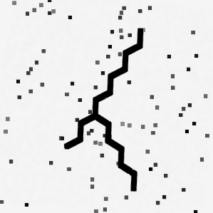 [CH2]CCCCCCC(CCC)CCCCCC